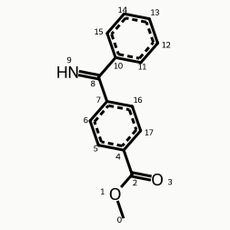 COC(=O)c1ccc(C(=N)c2ccccc2)cc1